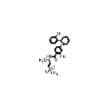 C[C@H](/C=C/S(C)(=O)=O)NC(=O)c1ccc(N2CCCCC2c2ccccc2Cl)cc1C#N